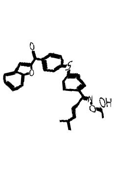 CC(C)CC/C(=N\OC(C)O)c1ccc(Sc2ccc(C(=O)c3cc4ccccc4o3)cc2)cc1